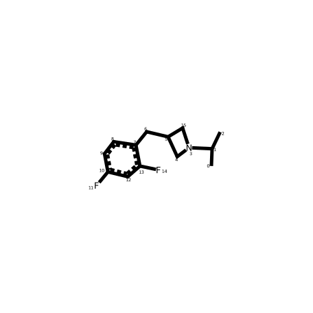 CC(C)N1CC(Cc2ccc(F)cc2F)C1